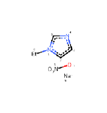 CCn1ccnc1.O=[N+]([O-])[O-].[Na+]